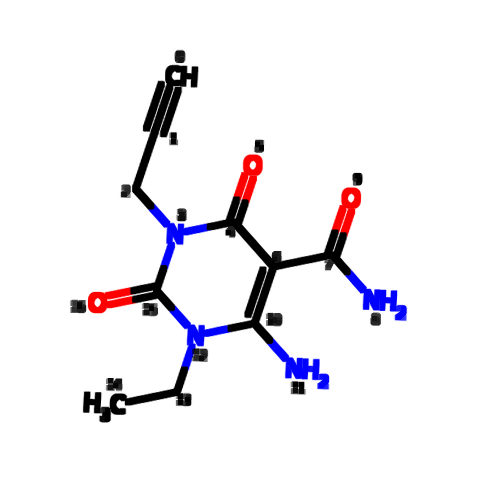 C#CCn1c(=O)c(C(N)=O)c(N)n(CC)c1=O